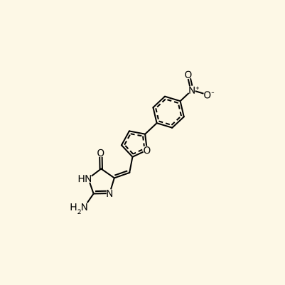 NC1=N/C(=C/c2ccc(-c3ccc([N+](=O)[O-])cc3)o2)C(=O)N1